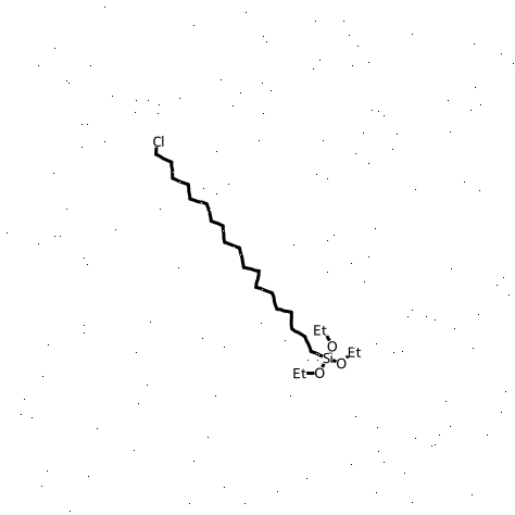 CCO[Si](CCCCCCCCCCCCCCCCCCCCl)(OCC)OCC